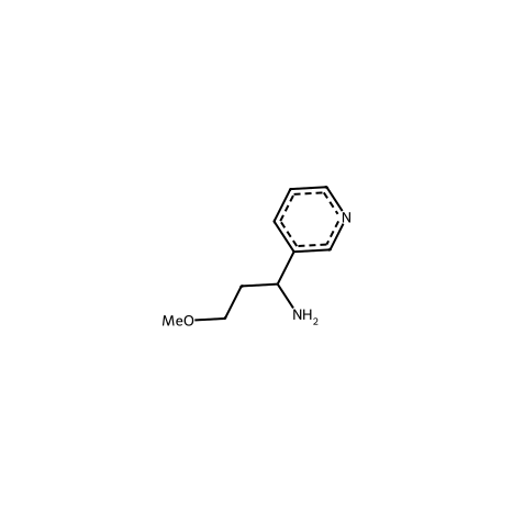 COCCC(N)c1cccnc1